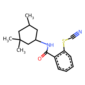 CC1CC(NC(=O)c2ccccc2SC#N)CC(C)(C)C1